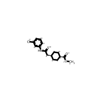 COC(=O)[C@H]1CC[C@@H](CC(=S)Nc2cccc(Cl)c2)CC1